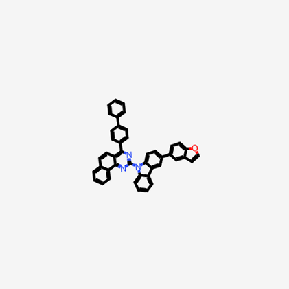 c1ccc(-c2ccc(-c3nc(-n4c5ccccc5c5cc(-c6ccc7occc7c6)ccc54)nc4c3ccc3ccccc34)cc2)cc1